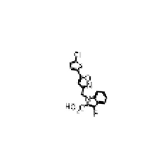 O=C(O)c1c(F)c2ccccc2n1Cc1cc(-c2ccc(Cl)s2)on1